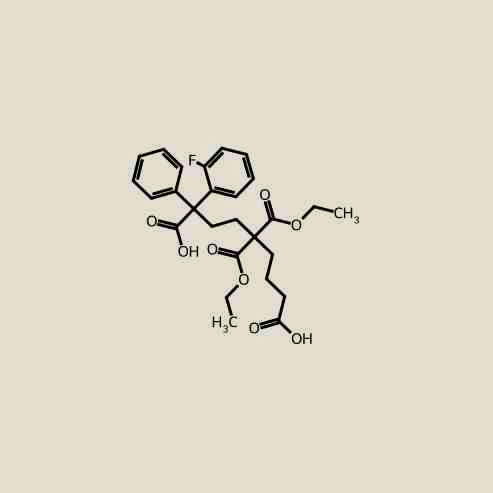 CCOC(=O)C(CCCC(=O)O)(CCC(C(=O)O)(c1ccccc1)c1ccccc1F)C(=O)OCC